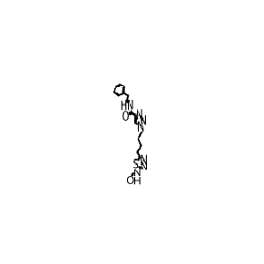 O=CNc1nnc(CCCCn2cc(C(=O)NCCc3ccccc3)nn2)s1